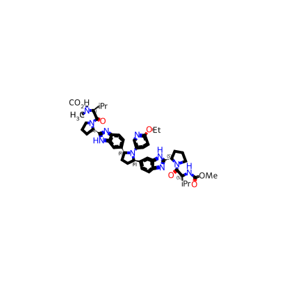 CCOc1ccc(N2[C@@H](c3ccc4nc([C@@H]5CCCN5C(=O)[C@@H](NC(=O)OC)C(C)C)[nH]c4c3)CC[C@@H]2c2ccc3nc([C@@H]4CCCN4C(=O)[C@H](C(C)C)N(C)C(=O)O)[nH]c3c2)cn1